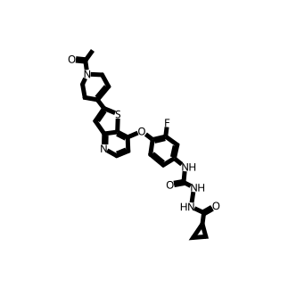 CC(=O)N1CC=C(c2cc3nccc(Oc4ccc(NC(=O)NNC(=O)C5CC5)cc4F)c3s2)CC1